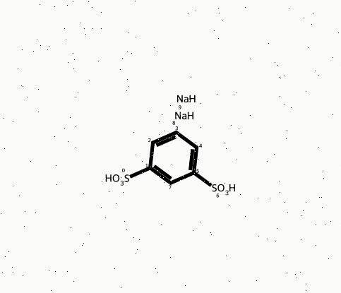 O=S(=O)(O)c1cccc(S(=O)(=O)O)c1.[NaH].[NaH]